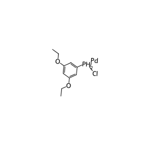 CCOc1cc(P)cc(OCC)c1.Cl[CH2][Pd]